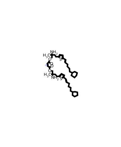 CC(N)(CCc1ccc(C=CCCCCC2CCCCC2)s1)COC(=O)/C=C\C(=O)OCC(C)(N)CCc1ccc(C=CCCCCC2CCCCC2)s1